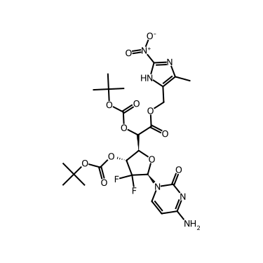 Cc1nc([N+](=O)[O-])[nH]c1COC(=O)C(OC(=O)OC(C)(C)C)[C@H]1O[C@@H](n2ccc(N)nc2=O)C(F)(F)[C@@H]1OC(=O)OC(C)(C)C